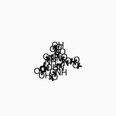 CC(C)(C)OC(=O)Nc1nc(/C(=N/OC(C)(C)C(=O)OC(C)(C)C)C(=O)N[C@@H]2C(=O)N(S(=O)(=O)O)[C@@H]2CNC(=O)NCc2cc(=O)c(O)cn2O)cs1